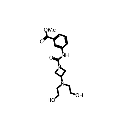 COC(=O)c1cccc(NC(=O)N2CC(N(CCO)CCO)C2)c1